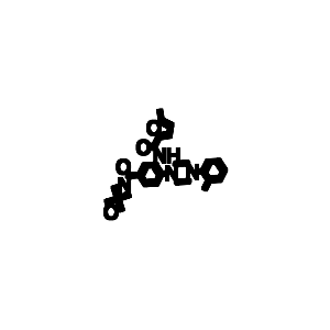 Cc1ccc(C(=O)Nc2cc(C(=O)N3CC4(COC4)C3)ccc2N2CCN(c3ccccc3C)CC2)o1